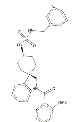 COc1ccccc1C(=O)NC[C@]1(c2ccccc2)CC[C@H](NS(=O)(=O)NCc2cccnc2)CC1